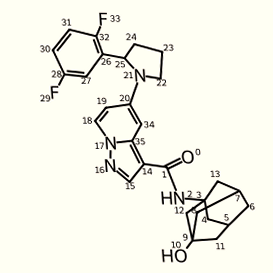 O=C(NC12CC3CC(CC(O)(C3)C1)C2)c1cnn2ccc(N3CCCC3c3cc(F)ccc3F)cc12